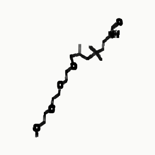 COCCOCCOCCOCC(C)CC(C)(C)CCNC=O